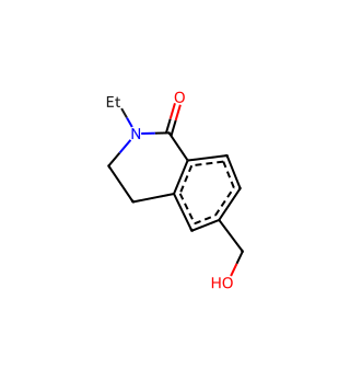 CCN1CCc2cc(CO)ccc2C1=O